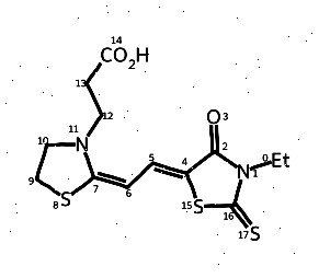 CCN1C(=O)C(=CC=C2SCCN2CCC(=O)O)SC1=S